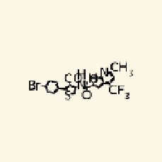 Cc1cc(C(F)(F)F)c2cc(C(=O)Nc3csc(-c4ccc(Br)cc4)c3C(=O)O)oc2n1